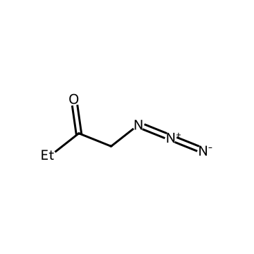 CCC(=O)CN=[N+]=[N-]